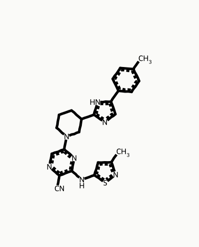 Cc1ccc(-c2cnc(C3CCCN(c4cnc(C#N)c(Nc5cc(C)ns5)n4)C3)[nH]2)cc1